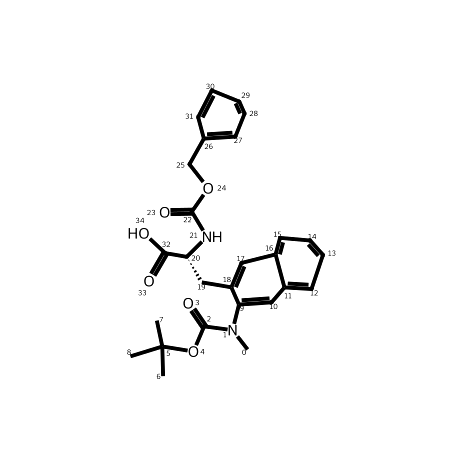 CN(C(=O)OC(C)(C)C)c1cc2ccccc2cc1C[C@@H](NC(=O)OCc1ccccc1)C(=O)O